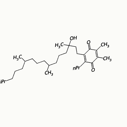 CCCC1=C(CCC(C)(O)CCCC(C)CCCC(C)CCCC(C)C)C(=O)C(C)=C(C)C1=O